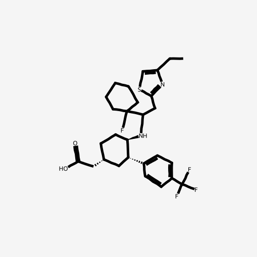 CCc1csc(CC(N[C@@H]2CC[C@@H](CC(=O)O)C[C@H]2c2ccc(C(F)(F)F)cc2)C2(F)CCCCC2)n1